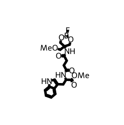 COCC1(NC(=O)CCC(=O)NC(Cc2c[nH]c3ccccc23)C(=O)OC)COB(F)OC1